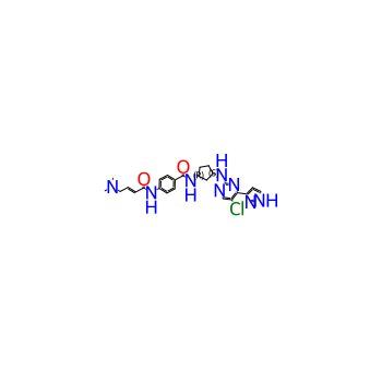 CN(C)CC=CC(=O)Nc1ccc(C(=O)N[C@@H]2CC[C@H](Nc3ncc(Cl)c(-c4cc[nH]n4)n3)C2)cc1